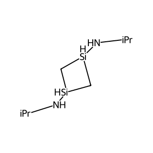 CC(C)N[SiH]1C[SiH](NC(C)C)C1